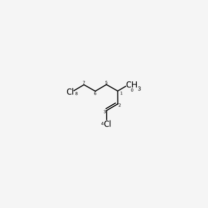 CC(C=CCl)CCCCl